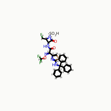 O=C(NC1C(=O)N(S(=O)(=O)O)C1CF)/C(=N/OC(F)F)c1csc(NC(c2ccccc2)(c2ccccc2)c2ccccc2)n1